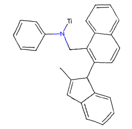 CC1=Cc2ccccc2C1c1ccc2ccccc2c1C[N]([Ti])c1ccccc1